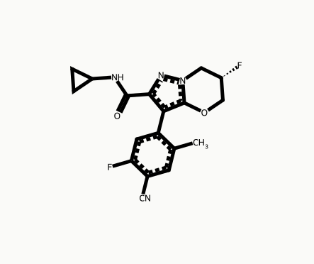 Cc1cc(C#N)c(F)cc1-c1c(C(=O)NC2CC2)nn2c1OC[C@@H](F)C2